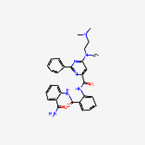 CCN(CCN(C)C)c1cc(C(=O)Nc2ccccc2C(=O)Nc2ccccc2C(N)=O)nc(-c2ccccc2)n1